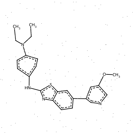 CCN(CC)c1ccc(Nc2nc3ccc(-c4cncc(OC)c4)cc3s2)cc1